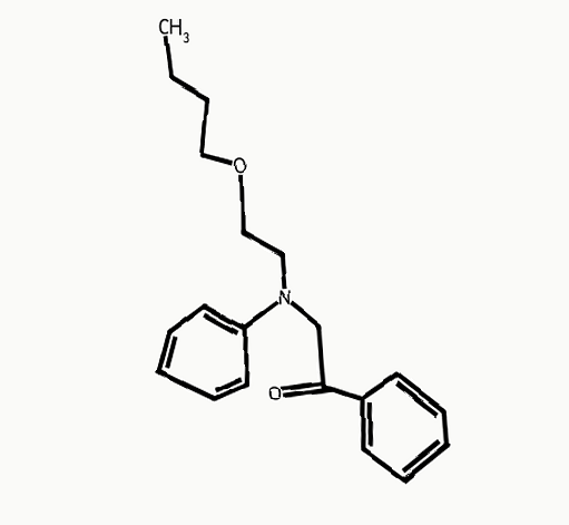 CCCCOCCN(CC(=O)c1ccccc1)c1ccccc1